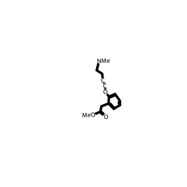 CNCCCCOc1ccccc1CC(=O)OC